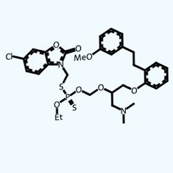 CCOP(=S)(OCOC(COc1ccccc1CCc1cccc(OC)c1)CN(C)C)SCn1c(=O)oc2cc(Cl)ccc21